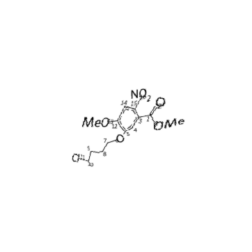 COC(=O)c1cc(OCCCCCl)c(OC)cc1[N+](=O)[O-]